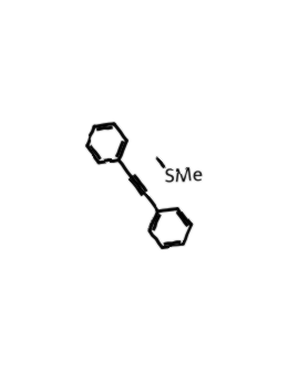 C(#Cc1ccccc1)c1ccccc1.CSC